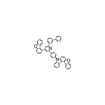 c1ccc(-c2cccc(-c3cc(-c4cccc5oc6ccccc6c45)cc(-c4ccc(-n5c6ccccc6c6c7c(ccc65)oc5ccccc57)cc4)n3)c2)cc1